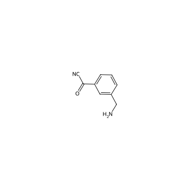 N#CC(=O)c1cccc(CN)c1